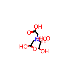 O.O.O=C(O)CN(CCO)CC(=O)O